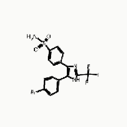 NS(=O)(=O)c1ccc(-c2nc(C(F)(F)F)[nH]c2-c2ccc(Br)cc2)cc1